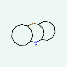 C1CCCC2CCC(CCC1)SC1CCCCCCC(CC1)N2